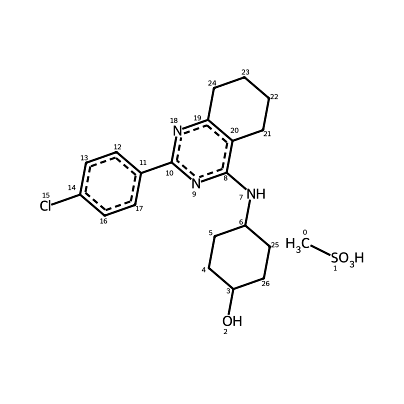 CS(=O)(=O)O.OC1CCC(Nc2nc(-c3ccc(Cl)cc3)nc3c2CCCC3)CC1